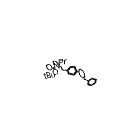 CCCN(CCc1ccc(OCc2ccccc2)cc1)C(=O)OC(C)(C)C